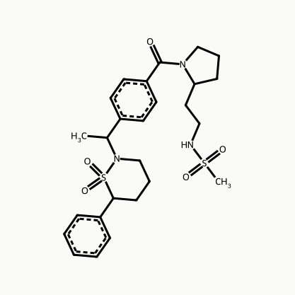 CC(c1ccc(C(=O)N2CCCC2CCNS(C)(=O)=O)cc1)N1CCCC(c2ccccc2)S1(=O)=O